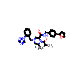 CC(C)C(=O)N1C(C)CN(Cc2ccccc2-n2cncn2)CC1C(=O)NCc1ccc(-c2ccco2)cc1